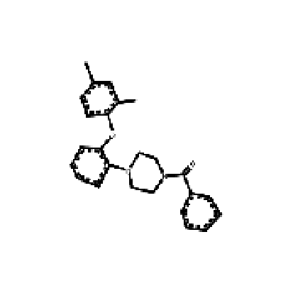 Cc1ccc(Sc2ccccc2N2CCN(C(=O)c3ccccc3)CC2)c(C)c1